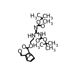 CC(C)(C)OC(=O)/N=C(/NCCOC(=O)C1C2C=CC(O2)C1C=O)NC(=O)OC(C)(C)C